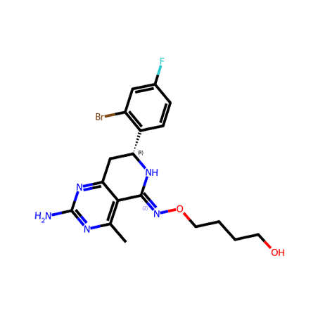 Cc1nc(N)nc2c1/C(=N/OCCCCO)N[C@@H](c1ccc(F)cc1Br)C2